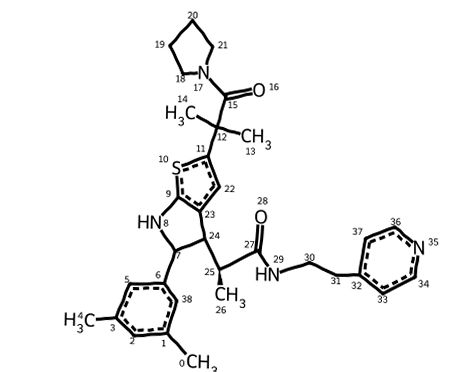 Cc1cc(C)cc(C2Nc3sc(C(C)(C)C(=O)N4CCCC4)cc3C2[C@H](C)C(=O)NCCc2ccncc2)c1